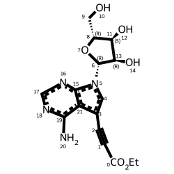 CCOC(=O)C#Cc1cn([C@@H]2O[C@H](CO)[C@@H](O)[C@H]2O)c2ncnc(N)c12